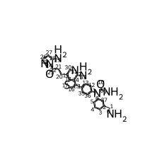 NCc1cccc(N(C(N)=O)c2ccc(-c3csc4c(/C=C/C(=O)n5nccc5N)cnc(N)c34)cc2)c1